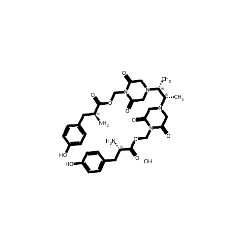 C[C@H]([C@H](C)N1CC(=O)N(COC(=O)[C@@H](N)Cc2ccc(O)cc2)C(=O)C1)N1CC(=O)N(COC(=O)[C@@H](N)Cc2ccc(O)cc2)C(=O)C1.Cl